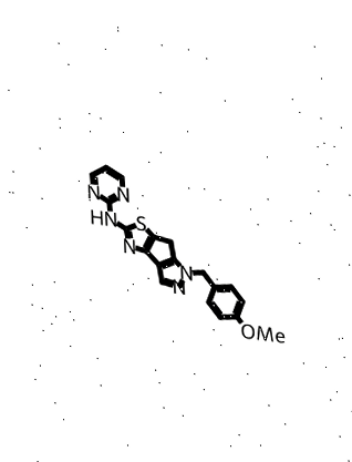 COc1ccc(Cn2ncc3c2Cc2sc(Nc4ncccn4)nc2-3)cc1